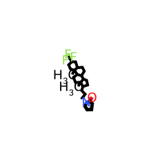 CC12CCC3C(CCC4CC(C(F)(F)F)CCC43C)C1CCC2CCCn1ccccc1=O